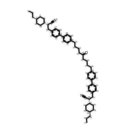 CCC[C@H]1CC[C@H](C(C#N)Cc2ccc(-c3ccc(CCCCC(=O)CCCCc4ccc(-c5ccc(CC(C#N)[C@H]6CC[C@H](CCC)CC6)cc5)cc4)cc3)cc2)CC1